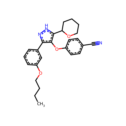 CCCCOc1cccc(-c2n[nH]c(C3CCCCO3)c2Oc2ccc(C#N)cc2)c1